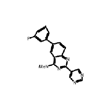 CNc1nc(-c2cncnc2)nc2ccc(-c3cccc(F)c3)cc12